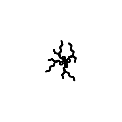 CCCCC(=CO[Si](OC=C(CC)CCCC)(OC=C(CC)CCCC)OC=C(CC)CCCC)CC